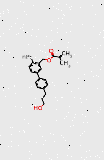 C=C(C)C(=O)OCc1cc(-c2ccc(CCCO)cc2)ccc1CCC